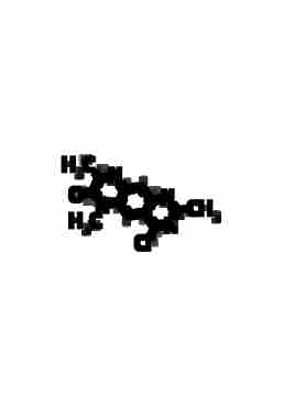 Cc1nc(Cl)c2cc3c(cc2n1)nc(C)c(=O)n3C